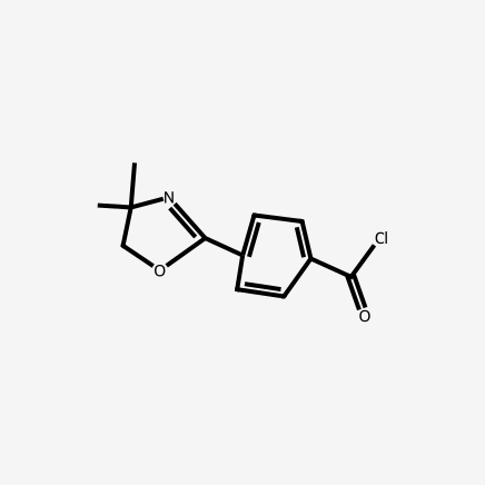 CC1(C)COC(c2ccc(C(=O)Cl)cc2)=N1